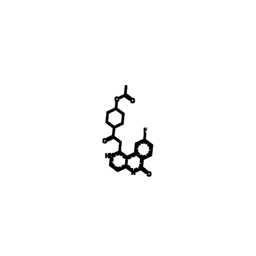 CC(=O)OC1CCC(C(=O)Cc2[nH]ccc3nc(=O)c4ccc(F)cc4c2-3)CC1